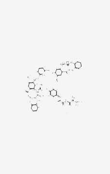 COc1cc2c(cc1OCc1cccc(COc3cc4c(cc3OC)C(=O)CN3Cc5ccccc5CC3C(O)N4C(=O)OCc3ccc(NC(=O)[C@H](C)NC(=O)[C@@H](N)C(C)C)cc3)n1)N=C[C@@H]1Cc3ccccc3CN1C2=O